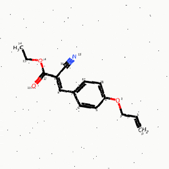 C=CCOc1ccc(/C=C(\C#N)C(=O)OCC)cc1